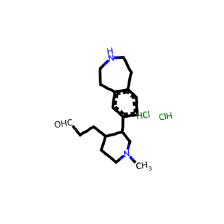 CN1CCC(CCC=O)C(c2ccc3c(c2)CCNCC3)C1.Cl.Cl